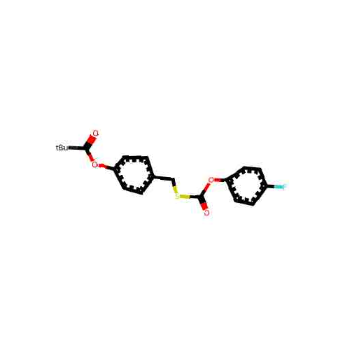 CC(C)(C)C(=O)Oc1ccc(CSC(=O)Oc2ccc(F)cc2)cc1